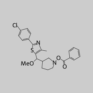 COC(c1sc(-c2ccc(Cl)cc2)nc1C)C1CCCN(OC(=O)c2ccccc2)C1